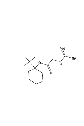 CC(C)(C)C1(OC(=O)CNC(=N)N)CCCCC1